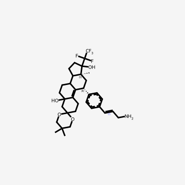 CC1(C)COC2(CCC3=C4C(CCC3(O)C2)C2CCC(O)(C(F)(F)C(F)(F)F)[C@@]2(C)C[C@@H]4c2ccc(/C=C/CN)cc2)OC1